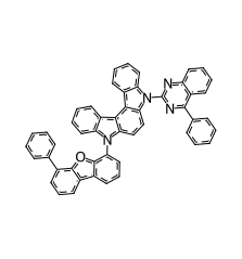 c1ccc(-c2nc(-n3c4ccccc4c4c5c6ccccc6n(-c6cccc7c6oc6c(-c8ccccc8)cccc67)c5ccc43)nc3ccccc23)cc1